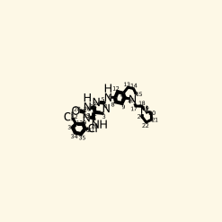 N=c1c2cnc(Nc3ccc4c(c3)CCCN4CCN3CCCC3)nc2[nH]c(=O)n1-c1c(Cl)cccc1Cl